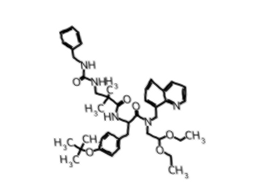 CCOC(CN(Cc1cccc2cccnc12)C(=O)C(Cc1ccc(OC(C)(C)C)cc1)NC(=O)C(C)(C)CNC(=O)NCc1ccccc1)OCC